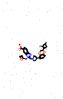 COC(=O)c1ccc2nc(CN3CCC(c4cccc5c4OCC(c4ccc(C)cc4F)O5)CC3)n(CC3CCO3)c2c1